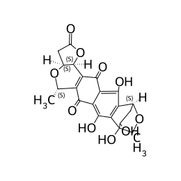 CC1O[C@H]2CC(O)C1(O)c1c(O)c3c(c(O)c12)C(=O)C1=C(C3=O)[C@H](C)O[C@H]2CC(=O)O[C@@H]12